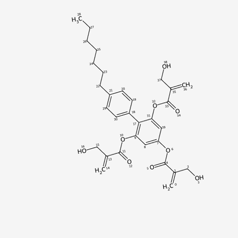 C=C(CO)C(=O)Oc1cc(OC(=O)C(=C)CO)c(-c2ccc(CCCCCCC)cc2)c(OC(=O)C(=C)CO)c1